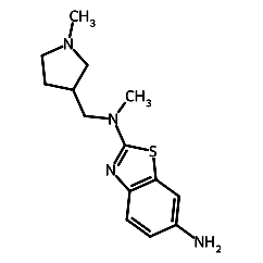 CN1CCC(CN(C)c2nc3ccc(N)cc3s2)C1